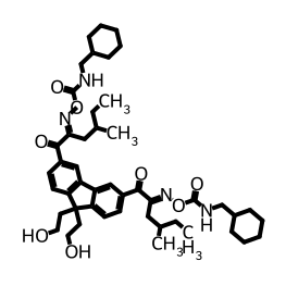 CCC(C)C/C(=N\OC(=O)NCC1CCCCC1)C(=O)c1ccc2c(c1)-c1cc(C(=O)/C(CC(C)CC)=N/OC(=O)NCC3CCCCC3)ccc1C2(CCO)CCO